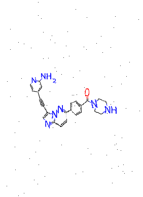 Nc1cc(C#Cc2cnc3ccc(-c4ccc(C(=O)N5CCNCC5)cc4)nn23)ccn1